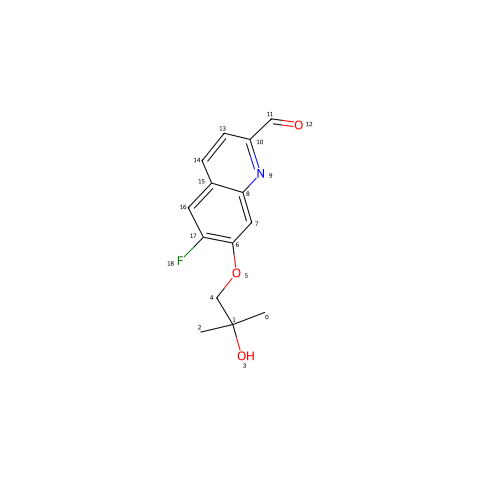 CC(C)(O)COc1cc2nc(C=O)ccc2cc1F